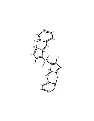 CC1=C([Si](C)(C)C2=C(C)C=C3Cc4ccccc4C=C32)C2=Cc3ccccc3CC2=C1